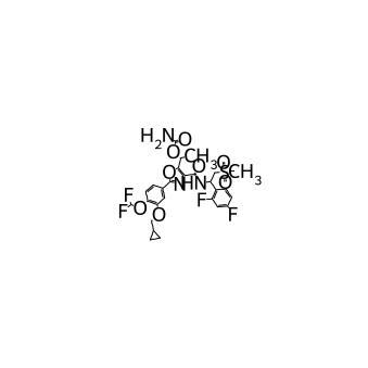 CC(OC(N)=O)c1oc(-c2ccc(OC(F)F)c(OCC3CC3)c2)nc1C(=O)NC(CS(C)(=O)=O)c1ccc(F)cc1F